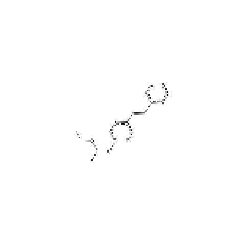 CCOC(C)Oc1ccc(C=Cc2ccccc2)cc1